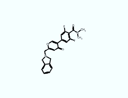 CN(C)C(=O)c1c(F)cc(-c2coc(CN3Cc4ccccc4C3)cc2=O)cc1F